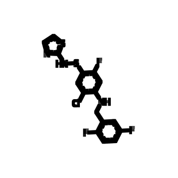 Fc1ccc(F)c(CNc2cc(F)c(SNc3nccs3)cc2Cl)c1